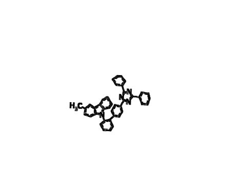 Cc1ccc2c(c1)c1ccccc1n2-c1ccccc1-c1ccc(-c2nc(-c3ccccc3)nc(-c3ccccc3)n2)cc1